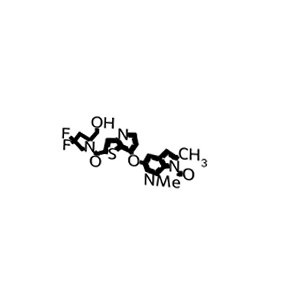 CNC(=O)n1c(C)cc2cc(Oc3ccnc4cc(C(=O)N5CC(F)(F)CC5CO)sc34)ccc21